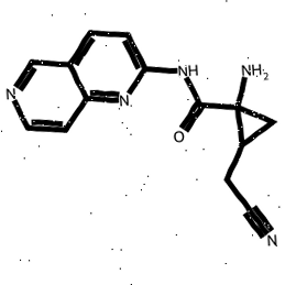 N#CCC1CC1(N)C(=O)Nc1ccc2cnccc2n1